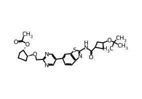 CC(=O)O[C@H]1CCC[C@@H]1OCc1ncc(-c2ccc3nc(NC(=O)C4CC(OC(C)(C)C)C4)sc3c2)cn1